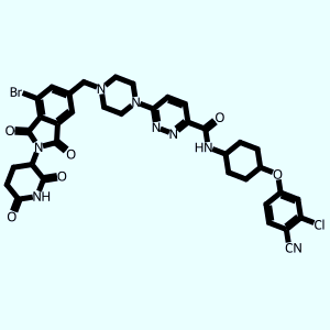 N#Cc1ccc(OC2CCC(NC(=O)c3ccc(N4CCN(Cc5cc(Br)c6c(c5)C(=O)N(C5CCC(=O)NC5=O)C6=O)CC4)nn3)CC2)cc1Cl